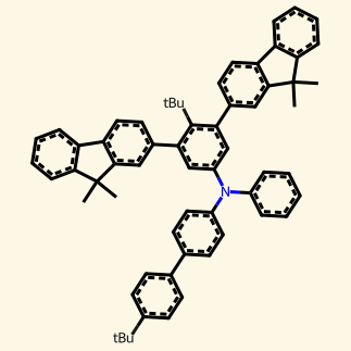 CC(C)(C)c1ccc(-c2ccc(N(c3ccccc3)c3cc(-c4ccc5c(c4)C(C)(C)c4ccccc4-5)c(C(C)(C)C)c(-c4ccc5c(c4)C(C)(C)c4ccccc4-5)c3)cc2)cc1